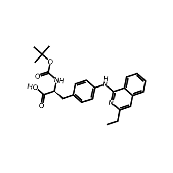 CCc1cc2ccccc2c(Nc2ccc(C[C@H](NC(=O)OC(C)(C)C)C(=O)O)cc2)n1